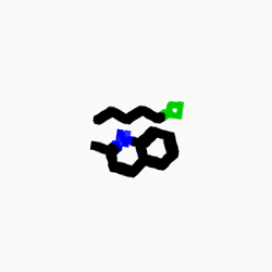 CCCCCCl.Cc1ccc2ccccc2n1